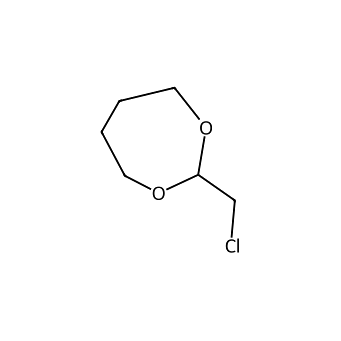 ClCC1OCCCCO1